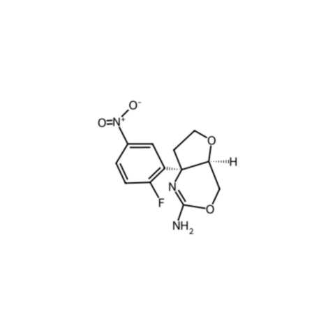 NC1=N[C@@]2(c3cc([N+](=O)[O-])ccc3F)CCO[C@H]2CO1